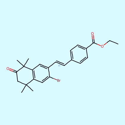 CCOC(=O)c1ccc(/C=C/c2cc3c(cc2Br)C(C)(C)CC(=O)C3(C)C)cc1